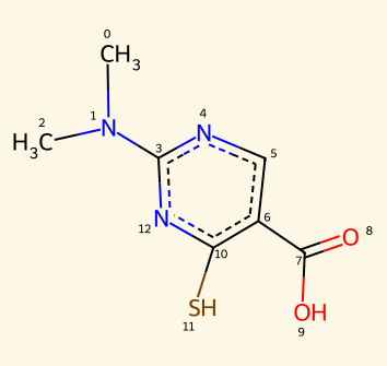 CN(C)c1ncc(C(=O)O)c(S)n1